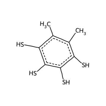 Cc1c(C)c(S)c(S)c(S)c1S